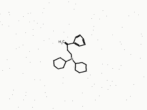 C=C(CCN(C1CCCCC1)C1CCCCC1)c1ccccc1